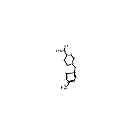 CCN(CC)C1CCN(Cc2ccc(C)cc2)CC1